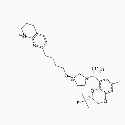 Cc1cc2c(c(C(C(=O)O)N3CC[C@@H](OCCCCc4ccc5c(n4)NCCC5)C3)c1)O[C@@H](C(C)(C)F)CO2